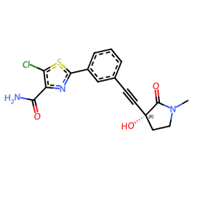 CN1CC[C@@](O)(C#Cc2cccc(-c3nc(C(N)=O)c(Cl)s3)c2)C1=O